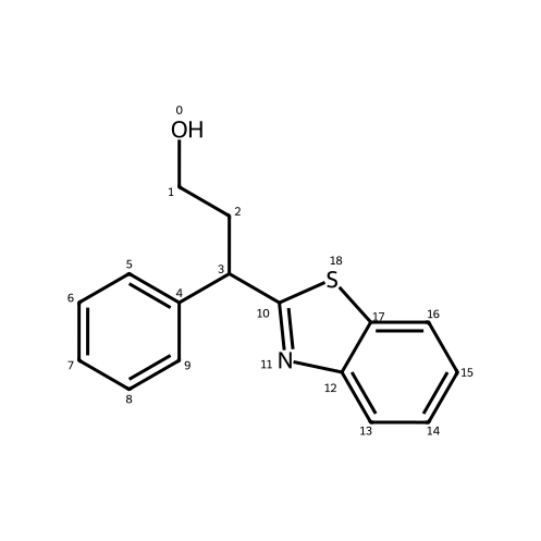 OCCC(c1ccccc1)c1nc2ccccc2s1